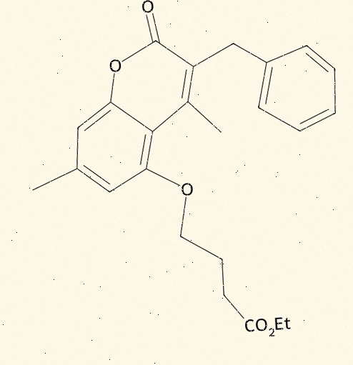 CCOC(=O)CCCOc1cc(C)cc2oc(=O)c(Cc3ccccc3)c(C)c12